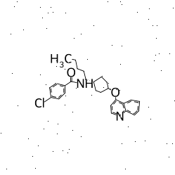 CCCCC(NC(=O)c1ccc(Cl)cc1)[C@H]1CC[C@H](Oc2ccnc3ccccc23)CC1